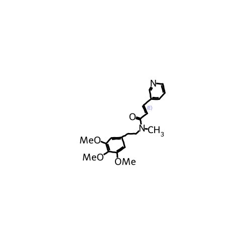 COc1cc(CCN(C)C(=O)/C=C/c2cccnc2)cc(OC)c1OC